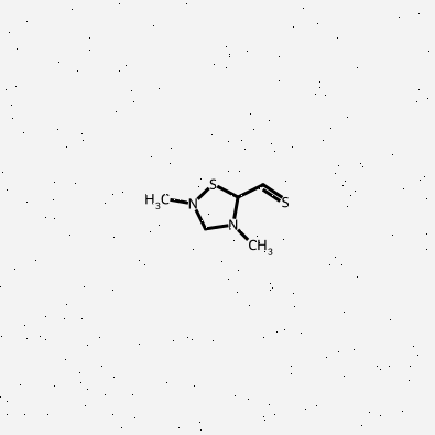 CN1CN(C)C(C=S)S1